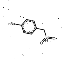 CCCCc1ccc(C[SH](=O)=O)cc1